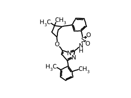 Cc1cccc(C)c1-c1cc2nc(n1)NS(=O)(=O)c1cccc(c1)C1CC(CC1(C)C)O2